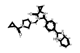 O=C(C1CC1)N1CC[C@@H](CN2C(=O)C3(CC3)N=C2c2ccc(C3NC4C=CC=CC4O3)cc2)C1